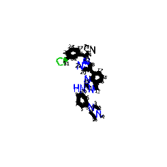 CN1CCN(c2cccc(Nc3ncc4cccc(-c5cnn(C(CC#N)c6cccc(Cl)c6)c5)c4n3)c2)CC1